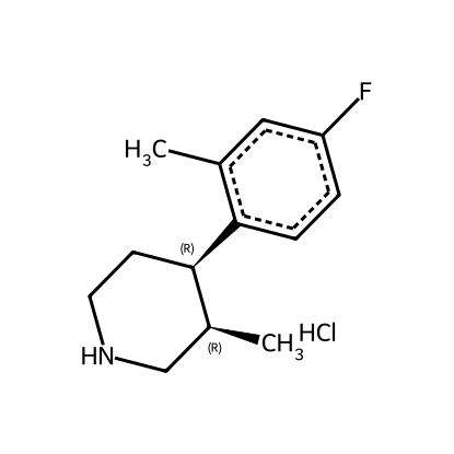 Cc1cc(F)ccc1[C@@H]1CCNC[C@@H]1C.Cl